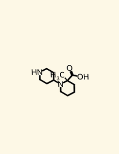 C[C@@]1(C(=O)O)CCCCN1C1CCNCC1